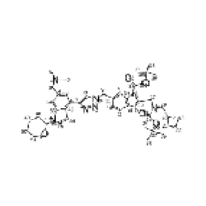 CN(C)Cc1cc(-c2cn(Cc3ccc4cc(CN(CC5CCC5)C(=O)OC(C)(C)C)n(C(=O)OC(C)(C)C)c4c3)nn2)c2cnn(C3CCCCO3)c2c1